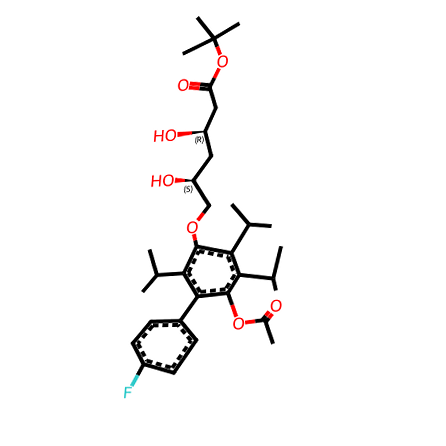 CC(=O)Oc1c(-c2ccc(F)cc2)c(C(C)C)c(OC[C@@H](O)C[C@@H](O)CC(=O)OC(C)(C)C)c(C(C)C)c1C(C)C